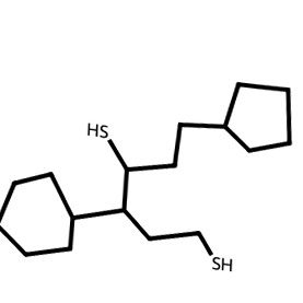 SCCC(C(S)CCC1CCCC1)C1CCCCC1